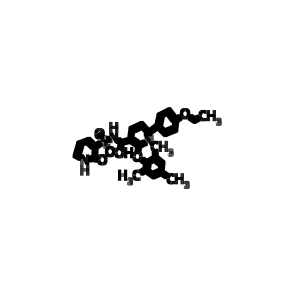 CCOc1ccc(-c2ccc(C(O)NS(=O)(=O)c3ccc[nH]c3=O)c(Oc3c(C)cc(C)cc3C)n2)cc1